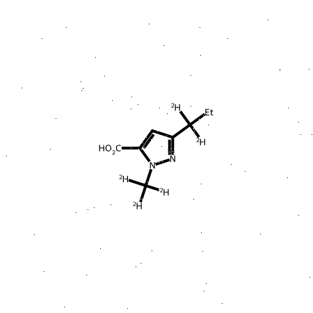 [2H]C([2H])(CC)c1cc(C(=O)O)n(C([2H])([2H])[2H])n1